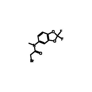 CN(C(=O)CBr)c1ccc2c(c1)OC(F)(F)O2